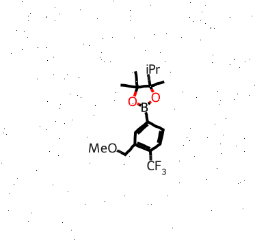 COCc1cc(B2OC(C)(C)C(C)(C(C)C)O2)ccc1C(F)(F)F